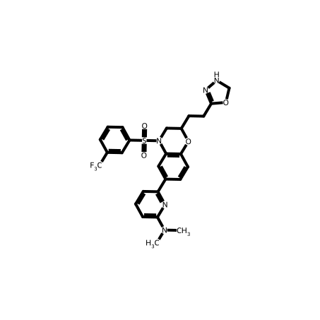 CN(C)c1cccc(-c2ccc3c(c2)N(S(=O)(=O)c2cccc(C(F)(F)F)c2)CC(CCC2=NNCO2)O3)n1